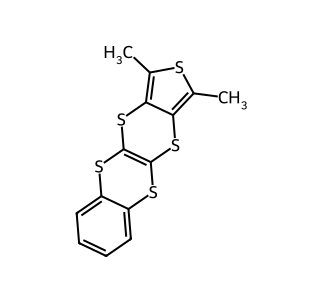 Cc1sc(C)c2sc3sc4ccccc4sc=3sc12